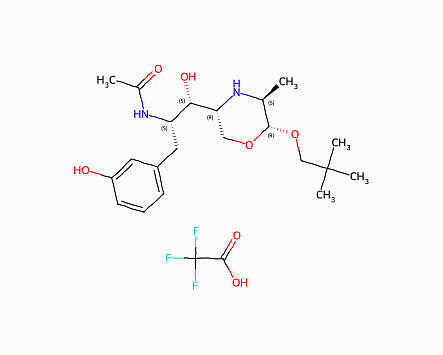 CC(=O)N[C@@H](Cc1cccc(O)c1)[C@H](O)[C@H]1CO[C@@H](OCC(C)(C)C)[C@H](C)N1.O=C(O)C(F)(F)F